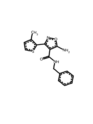 Cc1ccsc1-c1noc(N)c1C(=O)NCc1ccccc1